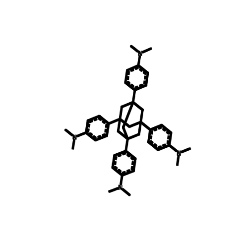 CN(C)c1ccc(C23CC4(c5ccc(N(C)C)cc5)CC(c5ccc(N(C)C)cc5)(C2)CC(c2ccc(N(C)C)cc2)(C3)C4)cc1